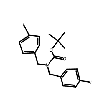 CC(C)(C)OC(=O)N(Cc1ccc(I)cc1)Cc1ccc(I)cc1